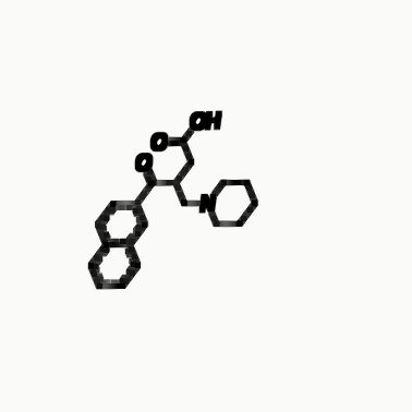 O=C(O)CC(CN1CCCCC1)C(=O)c1ccc2ccccc2c1